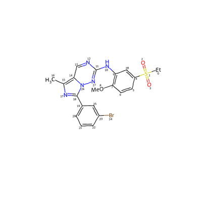 CCS(=O)(=O)c1ccc(OC)c(Nc2ncc3c(C)nc(-c4cccc(Br)c4)n3n2)c1